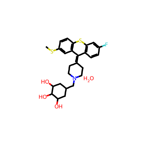 CSc1ccc2c(c1)C(=C1CCN(CC3CC(O)C(O)C(O)C3)CC1)c1ccc(F)cc1S2.O